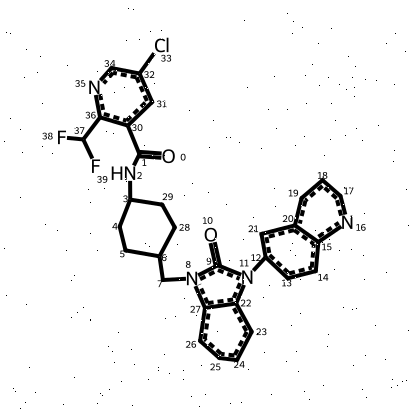 O=C(NC1CCC(Cn2c(=O)n(-c3ccc4ncccc4c3)c3ccccc32)CC1)c1cc(Cl)cnc1C(F)F